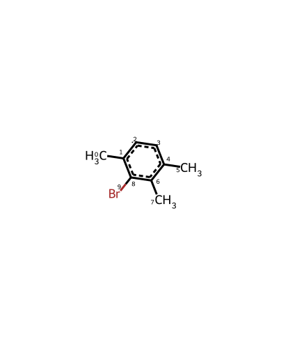 Cc1[c]cc(C)c(C)c1Br